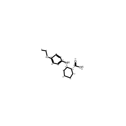 CCOc1ccc(N[C@H]2CCCC[C@H]2C(=O)O)cc1